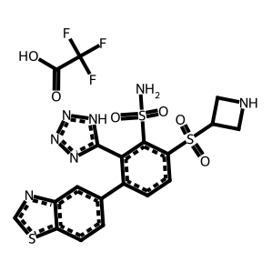 NS(=O)(=O)c1c(S(=O)(=O)C2CNC2)ccc(-c2ccc3scnc3c2)c1-c1nnn[nH]1.O=C(O)C(F)(F)F